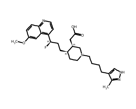 COc1ccc2nccc([C@H](F)CC[C@@H]3CCN(CCCCc4c[nH]nc4C)C[C@@H]3CC(=O)O)c2c1